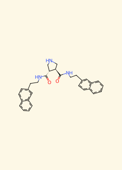 O=C(NCCc1ccc2ccccc2c1)[C@@H]1CNC[C@H]1C(=O)NCCc1ccc2ccccc2c1